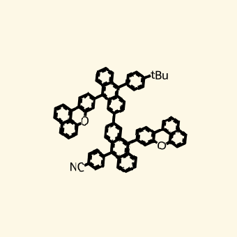 CC(C)(C)c1ccc(-c2c3ccccc3c(-c3ccc4c(c3)Oc3cccc5cccc-4c35)c3cc(-c4ccc5c(-c6ccc(C#N)cc6)c6ccccc6c(-c6ccc7c(c6)Oc6cccc8cccc-7c68)c5c4)ccc23)cc1